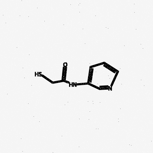 O=C(CS)Nc1cccnc1